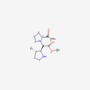 CC[C@H]1CCN[C@@H]1C(C(=O)OC(C)(C)C)N1CCC[C@H]1C(=O)OC